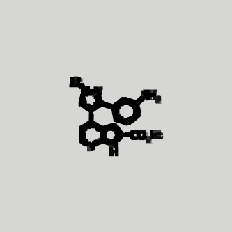 CCOC(=O)c1cc2c(-c3cn(CC)nc3-c3cccc(N)c3)ccnc2[nH]1